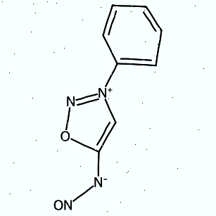 O=N[N-]c1c[n+](-c2ccccc2)no1